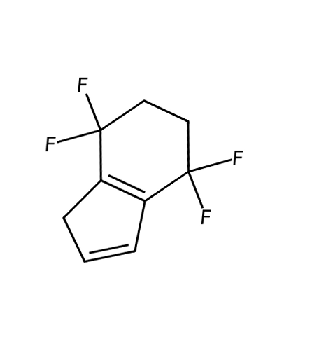 FC1(F)CCC(F)(F)C2=C1C=CC2